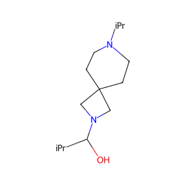 CC(C)C(O)N1CC2(CCN(C(C)C)CC2)C1